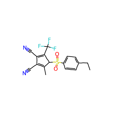 CCc1ccc(S(=O)(=O)C2C(C)=C(C#N)C(C#N)=C2C(F)(F)F)cc1